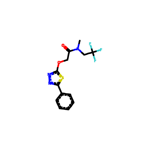 CN(CC(F)(F)F)C(=O)COc1nnc(-c2ccccc2)s1